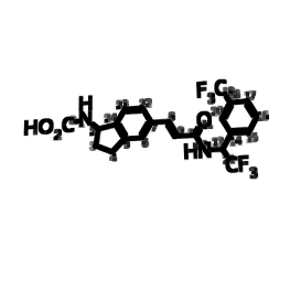 O=C(O)NC1CCc2cc(C=CC(=O)NC(c3cccc(C(F)(F)F)c3)C(F)(F)F)ccc21